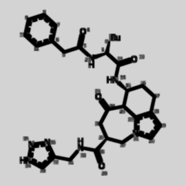 CC[C@H](C)[C@H](NC(=O)Cc1ccccc1)C(=O)N[C@H]1CCc2ccn3c2C1C(=O)C[C@H](C(=O)NCc1c[nH]nn1)C3